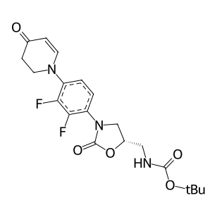 CC(C)(C)OC(=O)NC[C@H]1CN(c2ccc(N3C=CC(=O)CC3)c(F)c2F)C(=O)O1